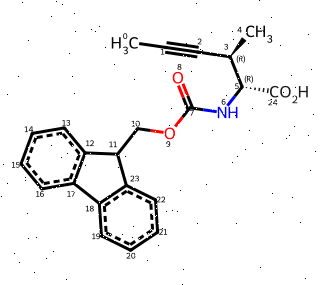 CC#C[C@@H](C)[C@@H](NC(=O)OCC1c2ccccc2-c2ccccc21)C(=O)O